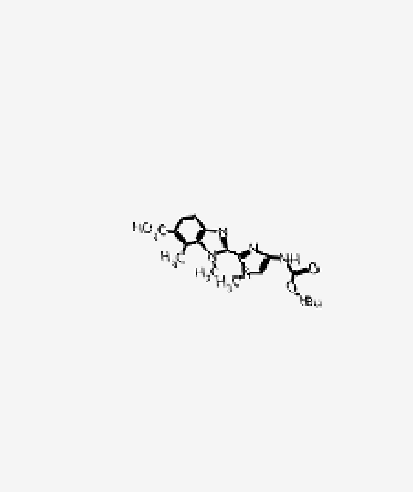 Cc1c(C(=O)O)ccc2nc(-c3nc(NC(=O)OC(C)(C)C)cn3C)n(C)c12